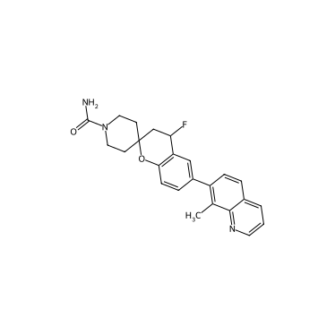 Cc1c(-c2ccc3c(c2)C(F)CC2(CCN(C(N)=O)CC2)O3)ccc2cccnc12